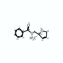 C[C@@]1(COC(=O)c2ccccc2)C=CCO1